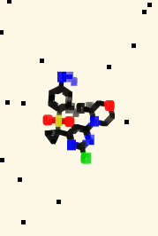 C[C@H]1COCCN1c1cc(C2(S(=O)(=O)c3ccc(N)cc3)CC2)nc(Cl)n1